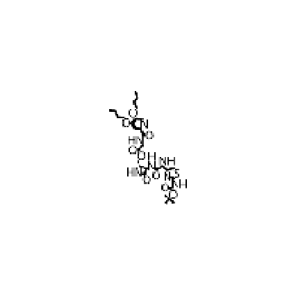 CCCCOc1cnc(C(=O)NCC(=O)OC[C@H]2NC(=O)[C@H]2NC(=O)C(=N)C2CSC(NC(=O)OC(C)(C)C)=N2)cc1OCCCC